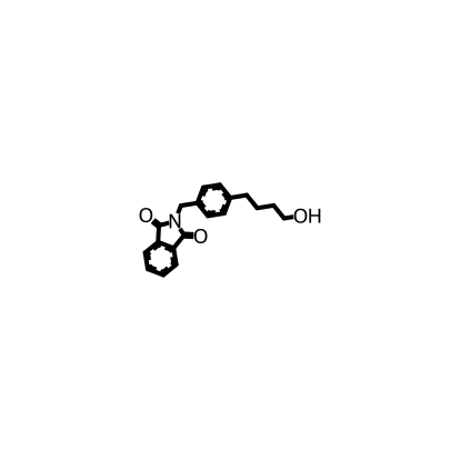 O=C1c2ccccc2C(=O)N1Cc1ccc(CCCCO)cc1